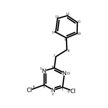 Clc1nc(Cl)nc(CCc2ccccc2)n1